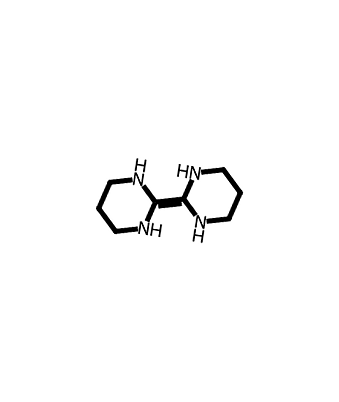 C1CNC(=C2NCCCN2)NC1